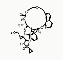 C=C[C@@H]1C[C@]1(NC(=O)[C@@H]1C[C@H]2Oc3nccc4ccc(cc34)CCCCCOC(=O)N[C@@H](C(C)(C)C)C(=O)N1C2c1ccccc1)C(=O)NS(=O)(=O)C1CC1